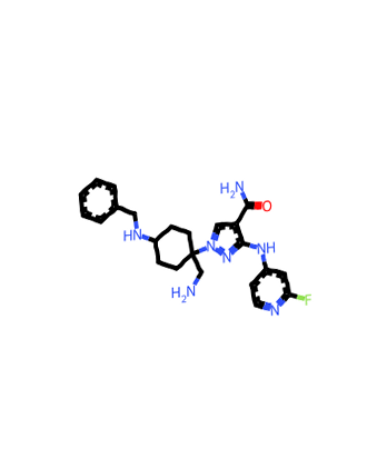 NCC1(n2cc(C(N)=O)c(Nc3ccnc(F)c3)n2)CCC(NCc2ccccc2)CC1